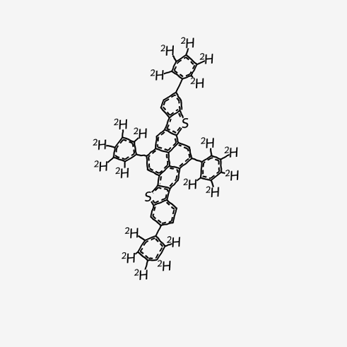 [2H]c1c([2H])c([2H])c(-c2ccc3c(c2)sc2c3cc3c(-c4c([2H])c([2H])c([2H])c([2H])c4[2H])cc4c5sc6cc(-c7c([2H])c([2H])c([2H])c([2H])c7[2H])ccc6c5cc5c(-c6c([2H])c([2H])c([2H])c([2H])c6[2H])cc2c3c54)c([2H])c1[2H]